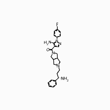 Nc1c(C(=O)N2CC3CN(CC[C@H](N)c4ccccc4)CC3C2)cnn1-c1ccc(F)cc1